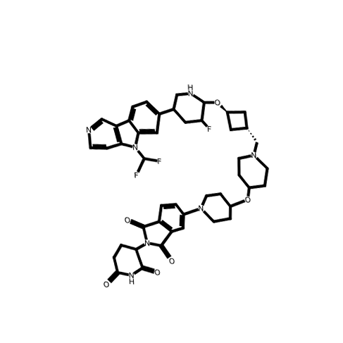 O=C1CCC(N2C(=O)c3ccc(N4CCC(OC5CCN(C[C@H]6C[C@H](OC7NCC(c8ccc9c%10cnccc%10n(C(F)F)c9c8)CC7F)C6)CC5)CC4)cc3C2=O)C(=O)N1